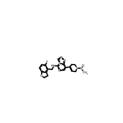 C[S+]([O-])N1CC=C(c2cnc(NCc3c(F)ccc4c3CCO4)n3cnnc23)CC1